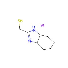 I.SCC1=NC2CCCCC2N1